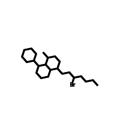 CCCCC(Br)CCC1CCC(C)C2C(C3CCCCC3)CCCC12